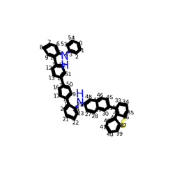 c1ccc(Nc2ccccc2-c2ccc(-c3ccc(-c4ccccc4Nc4ccc5cc(-c6cccc7sc8ccccc8c67)ccc5c4)cc3)cc2)cc1